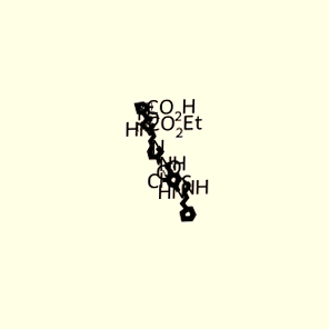 CCOC(=O)C(CCc1ccc(CNS(=O)(=O)c2cc3c(cc2Cl)NC(CCc2ccccc2)NS3)cn1)N[C@@H](C)C(=O)N1CCC[C@H]1C(=O)O